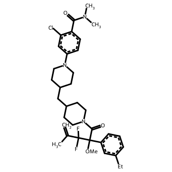 C=C(C)C(F)(F)C(OC)(C(=O)N1CCC(CC2CCN(c3ccc(C(=O)N(C)C)c(Cl)c3)CC2)CC1)c1cccc(CC)c1